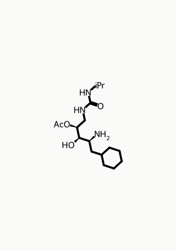 CC(=O)O[C@@H](CNC(=O)NC(C)C)[C@H](O)[C@@H](N)CC1CCCCC1